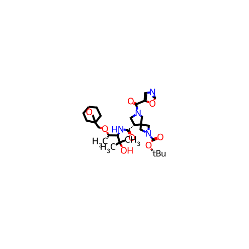 C[C@@H](OCC12CCC(CC1)OC2)C(NC(=O)[C@@H]1CN(C(=O)c2cnco2)CC12CN(C(=O)OC(C)(C)C)C2)C(C)(C)O